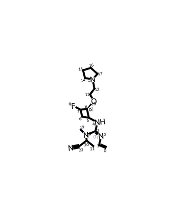 C=C/N=C(/NC1CC(F)[C@H]1OCCN1CCCC1)N(C)C(C)C#N